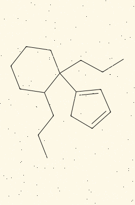 CCCC1CCCCC1(CCC)C1=CC=CC1